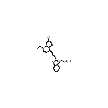 CCN1C=C/C(=C\C=C\c2sc3ccccc3[n+]2CCO)c2ccc(Cl)cc21